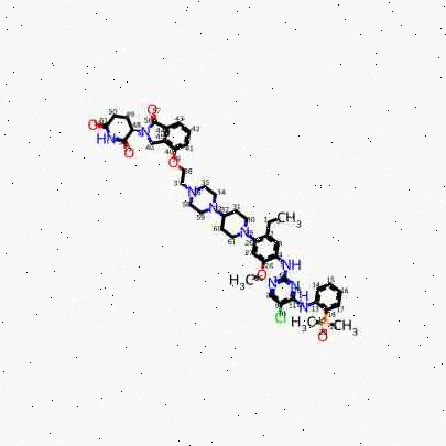 CCc1cc(Nc2ncc(Cl)c(Nc3ccccc3P(C)(C)=O)n2)c(OC)cc1N1CCC(N2CCN(CCOc3cccc4c3CN([C@@H]3CCC(=O)NC3=O)C4=O)CC2)CC1